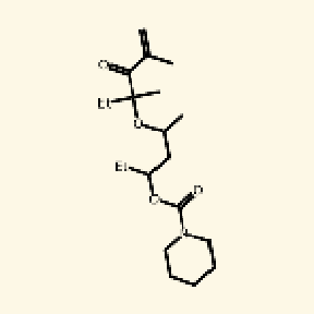 C=C(C)C(=O)C(C)(CC)OC(C)CC(CC)OC(=O)N1CCCCC1